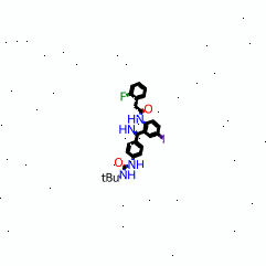 CC(C)(C)NC(=O)Nc1ccc(C(=N)c2cc(I)ccc2NC(=O)Cc2ccccc2F)cc1